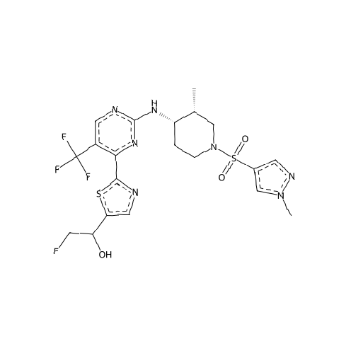 C[C@@H]1CN(S(=O)(=O)c2cnn(C)c2)CC[C@@H]1Nc1ncc(C(F)(F)F)c(-c2ncc(C(O)CF)s2)n1